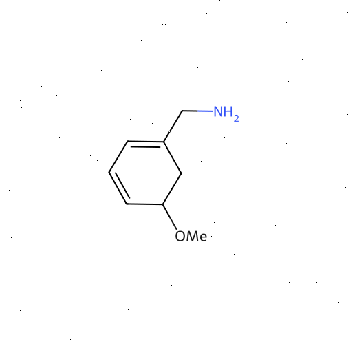 COC1C=CC=C(CN)C1